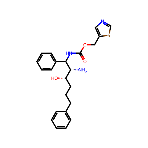 N[C@@H](C(NC(=O)OCc1cncs1)c1ccccc1)[C@@H](O)CCCc1ccccc1